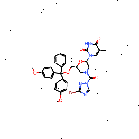 COc1ccc(C(OC[C@@H]2CN(C(=O)n3cnc(Br)n3)C[C@H](n3cc(C)c(=O)[nH]c3=O)O2)(c2ccccc2)c2ccc(OC)cc2)cc1